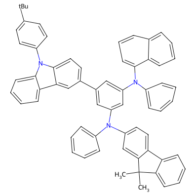 CC(C)(C)c1ccc(-n2c3ccccc3c3cc(-c4cc(N(c5ccccc5)c5ccc6c(c5)C(C)(C)c5ccccc5-6)cc(N(c5ccccc5)c5cccc6ccccc56)c4)ccc32)cc1